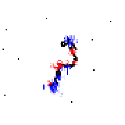 CCCCc1nc2c(N)nc3ccccc3c2n1CC(C)(C)OC(=O)OCCC(C)(C)OCCC(C)(C)NC(=O)CCC(NC(=O)c1ccc(NCc2cnc3nc(N)[nH]c(=O)c3n2)cc1)C(=O)O